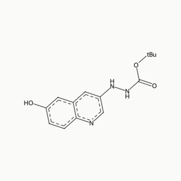 CC(C)(C)OC(=O)NNc1cnc2ccc(O)cc2c1